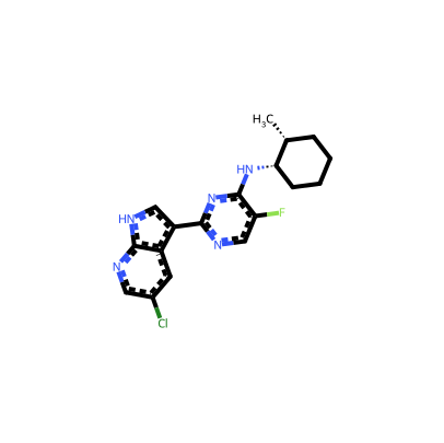 C[C@@H]1CCCC[C@@H]1Nc1nc(-c2c[nH]c3ncc(Cl)cc23)ncc1F